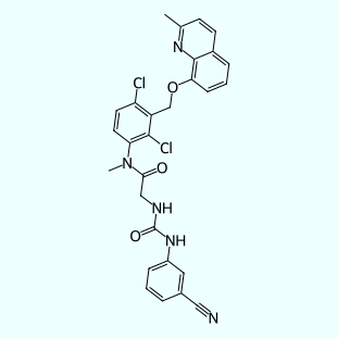 Cc1ccc2cccc(OCc3c(Cl)ccc(N(C)C(=O)CNC(=O)Nc4cccc(C#N)c4)c3Cl)c2n1